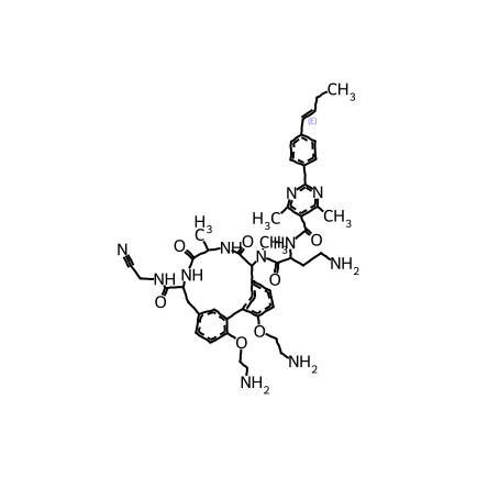 CC/C=C/c1ccc(-c2nc(C)c(C(=O)NC(CCN)C(=O)N(C)C3C(=O)NC(C)C(=O)NC(C(=O)NCC#N)Cc4ccc(OCCN)c(c4)-c4cc3ccc4OCCN)c(C)n2)cc1